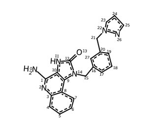 Nc1nc2ccccc2c2c1[nH]c(=O)n2Cc1cccc(Cn2cccn2)c1